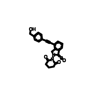 O=C=C1c2cccc(C#Cc3ccc(CO)cc3)c2CN1N1C(=O)CCCC1=O